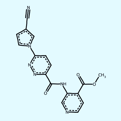 COC(=O)c1ccncc1NC(=O)c1ccc(-n2ccc(C#N)c2)nn1